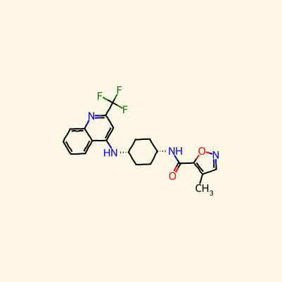 Cc1cnoc1C(=O)N[C@H]1CC[C@@H](Nc2cc(C(F)(F)F)nc3ccccc23)CC1